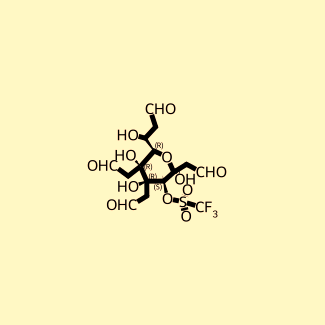 O=CCC(O)[C@H]1O[C@@](O)(CC=O)[C@@H](OS(=O)(=O)C(F)(F)F)[C@](O)(CC=O)[C@@]1(O)CC=O